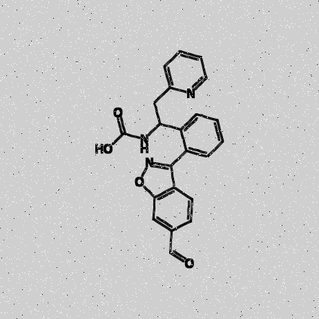 O=Cc1ccc2c(-c3ccccc3C(Cc3ccccn3)NC(=O)O)noc2c1